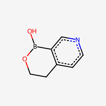 OB1OCCc2ccncc21